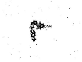 COc1cc(C)c(S(=O)(=O)Nc2cccc3ccn(CC(=O)N4CCC5(CCC(N6CCC6)CC5)CC4)c23)c(C)c1